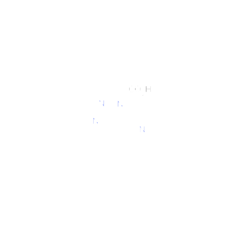 O=C(O)n1nnc2cccnc21